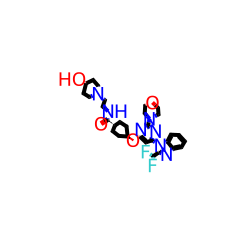 O=C(NCCN1CCC(O)CC1)[C@H]1CC[C@H](Oc2cc(-n3c(C(F)F)nc4ccccc43)nc(N3CCOCC3)n2)CC1